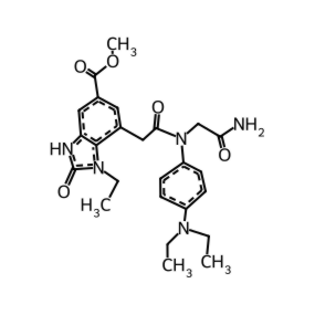 CCN(CC)c1ccc(N(CC(N)=O)C(=O)Cc2cc(C(=O)OC)cc3[nH]c(=O)n(CC)c23)cc1